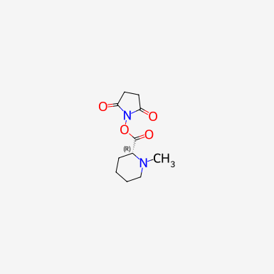 CN1CCCC[C@@H]1C(=O)ON1C(=O)CCC1=O